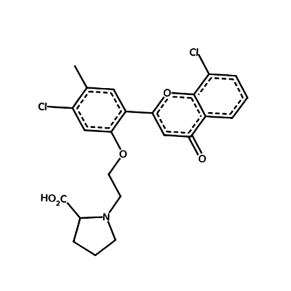 Cc1cc(-c2cc(=O)c3cccc(Cl)c3o2)c(OCCN2CCCC2C(=O)O)cc1Cl